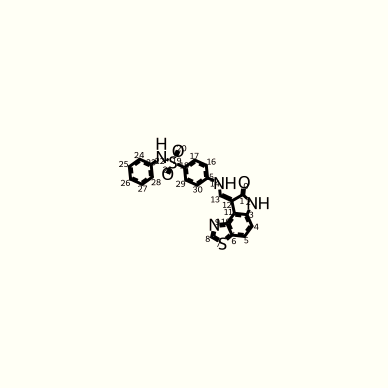 O=C1Nc2ccc3scnc3c2/C1=C/Nc1ccc(S(=O)(=O)Nc2ccccc2)cc1